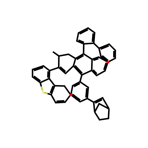 CC1Cc2c(c(-c3cccc(C4=CC5CCC4C5)c3)c3ccccc3c2-c2ccccc2-c2ccccc2)C=C1c1cccc2sc3c(c12)CCC=C3